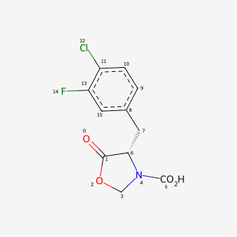 O=C1OCN(C(=O)O)[C@H]1Cc1ccc(Cl)c(F)c1